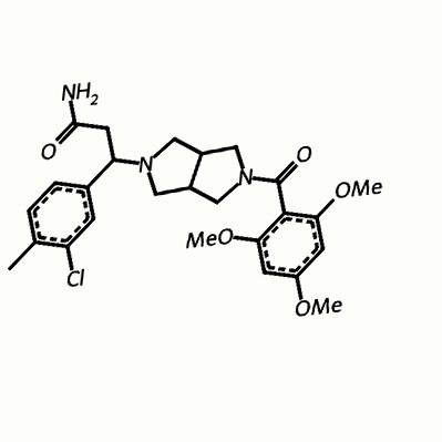 COc1cc(OC)c(C(=O)N2CC3CN(C(CC(N)=O)c4ccc(C)c(Cl)c4)CC3C2)c(OC)c1